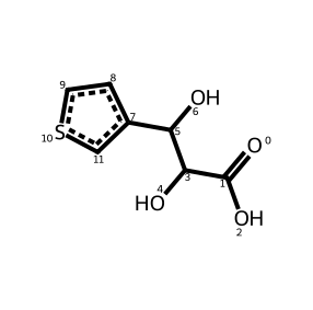 O=C(O)C(O)C(O)c1ccsc1